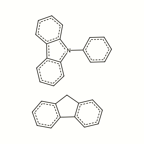 c1ccc(-n2c3ccccc3c3ccccc32)cc1.c1ccc2c(c1)Cc1ccccc1-2